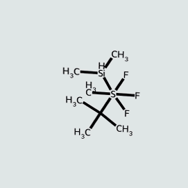 C[SiH](C)S(C)(F)(F)(F)C(C)(C)C